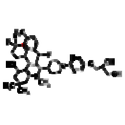 CN1C2=C(C(C3CCC(F)(F)CC3)=C(C(F)c3ccc(C(F)(F)F)cc3)C1C1CCN(c3ncc(OCC(O)CO)cn3)CC1)C(O)CC(C)(C)C2